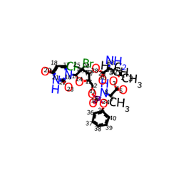 CC(C)OC(=O)C(C)NP(=O)(OCC1OC(n2ccc(=O)[nH]c2=O)[C@](Cl)(Br)[C@@H]1OC(=O)C(C)N)Oc1ccccc1